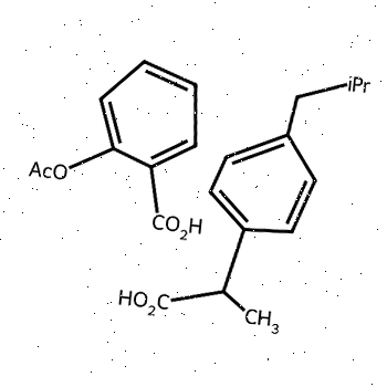 CC(=O)Oc1ccccc1C(=O)O.CC(C)Cc1ccc(C(C)C(=O)O)cc1